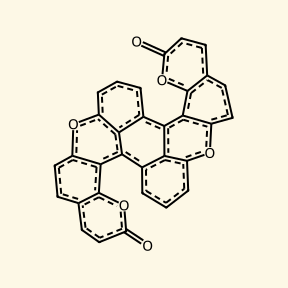 O=c1ccc2ccc3oc4cccc5c4c(c4cccc6oc7ccc8ccc(=O)oc8c7c5c64)c3c2o1